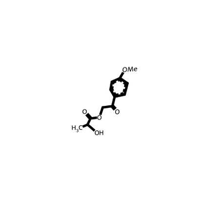 COc1ccc(C(=O)COC(=O)C(C)O)cc1